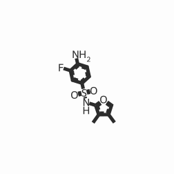 Cc1coc(NS(=O)(=O)c2ccc(N)c(F)c2)c1C